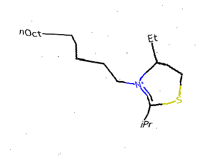 CCCCCCCCCCCC[N+]1=C(C(C)C)SCC1CC